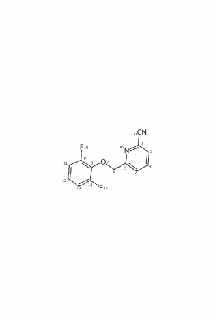 N#Cc1cccc(COc2c(F)cccc2F)n1